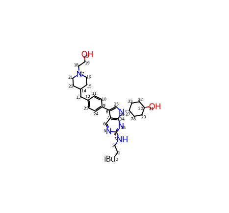 CCC(C)CCNc1ncc2c(-c3ccc(CC4CCN(CCO)CC4)cc3)cn([C@H]3CC[C@H](O)CC3)c2n1